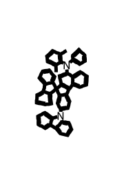 Cc1cccc(C)c1N(c1ccccc1)c1cc2c(c3ccccc13)-c1ccc(-n3c4ccccc4c4ccccc43)cc1C21c2ccccc2-c2ccccc21